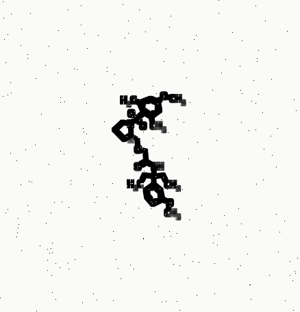 CCC(CC)(NC(=O)COC[C@@H]1CCCN1S(=O)(=O)c1c(C)cc(OC)cc1C)c1cccc(OC)c1